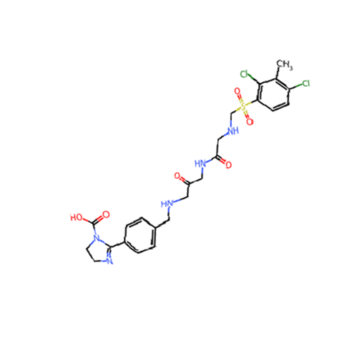 Cc1c(Cl)ccc(S(=O)(=O)CNCC(=O)NCC(=O)CNCc2ccc(C3=NCCN3C(=O)O)cc2)c1Cl